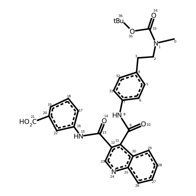 CN(CCc1ccc(NC(=O)c2c(C(=O)Nc3cccc(C(=O)O)c3)cnc3ccccc23)cc1)C(=O)OC(C)(C)C